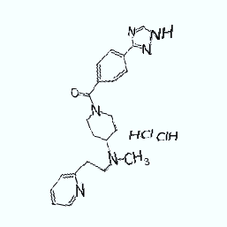 CN(CCc1ccccn1)C1CCN(C(=O)c2ccc(-c3nc[nH]n3)cc2)CC1.Cl.Cl